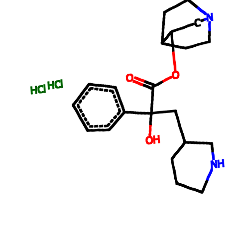 Cl.Cl.O=C(OC1CN2CCC1CC2)C(O)(CC1CCCNC1)c1ccccc1